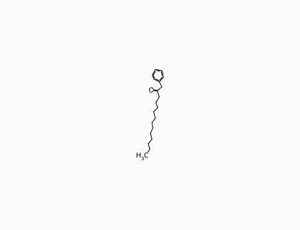 CCCCCCCCCCCCC(=O)Cc1ccccc1